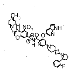 CN1CCN(C[C@H]2COc3cc(S(=O)(=O)NC(=O)c4ncc(N5CCC6(CC5)CC(N5CCCC5c5ccccc5F)C6)cc4Oc4cnc5[nH]ccc5c4)cc([N+](=O)[O-])c3N2)CC1